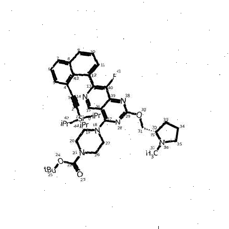 CC(C)[Si](C#Cc1cccc2cccc(-c3ncc4c(N5CCN(C(=O)OC(C)(C)C)CC5)nc(OC[C@@H]5CCCN5C)nc4c3F)c12)(C(C)C)C(C)C